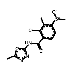 Cc1nnc(NC(=O)c2ccc([S+](C)[O-])c(C)c2Cl)o1